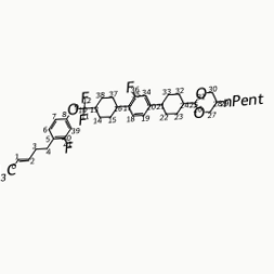 C/C=C/CCc1ccc(OC(F)(F)C2CCC(c3ccc(C4CCC(C5OCC(CCCCC)CO5)CC4)cc3F)CC2)cc1F